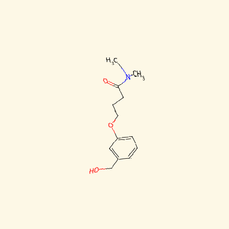 CN(C)C(=O)CCCOc1cc[c]c(CO)c1